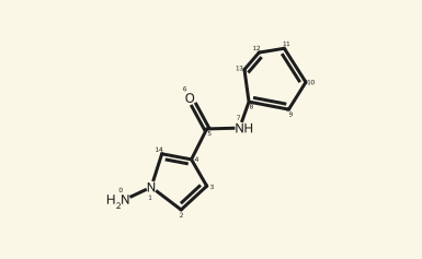 Nn1ccc(C(=O)Nc2ccccc2)c1